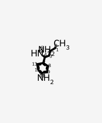 CCCCC(NN)c1ccc(N)cc1